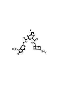 Cn1c(=O)oc2ccc(CNC(=O)c3cc(C(=O)NCC45C6C7C4C4C5C6C74N)n4ncc(F)c4n3)cc21